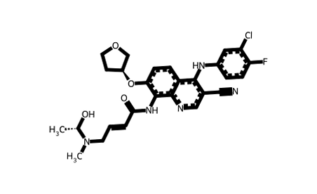 C[C@H](O)N(C)C/C=C/C(=O)Nc1c(O[C@H]2CCOC2)ccc2c(Nc3ccc(F)c(Cl)c3)c(C#N)cnc12